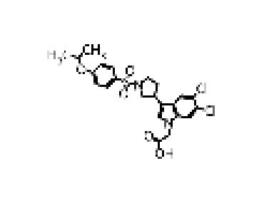 CC(C)Oc1ccc(S(=O)(=O)N2CCC(c3cn(CC(=O)O)c4cc(Cl)c(Cl)cc34)C2)cc1